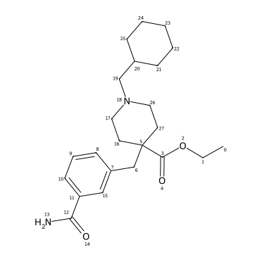 CCOC(=O)C1(Cc2cccc(C(N)=O)c2)CCN(CC2CCCCC2)CC1